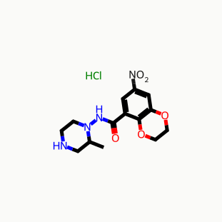 CC1CNCCN1NC(=O)c1cc([N+](=O)[O-])cc2c1OCCO2.Cl